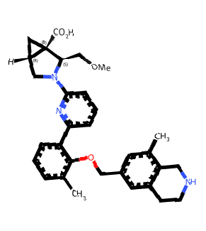 COC[C@H]1N(c2cccc(-c3cccc(C)c3OCc3cc(C)c4c(c3)CCNC4)n2)C[C@@H]2C[C@@]21C(=O)O